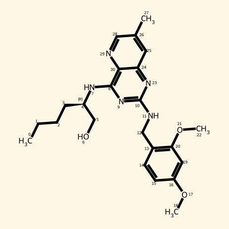 CCCC[C@H](CO)Nc1nc(NCc2ccc(OC)cc2OC)nc2cc(C)cnc12